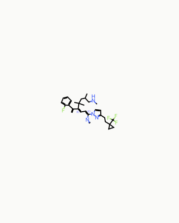 C=N/C(=C\C=C(\C(=C)c1ccccc1F)C(C)(C)CC(C)CNC)n1ccc(CCC2(C(F)(F)F)CC2)n1